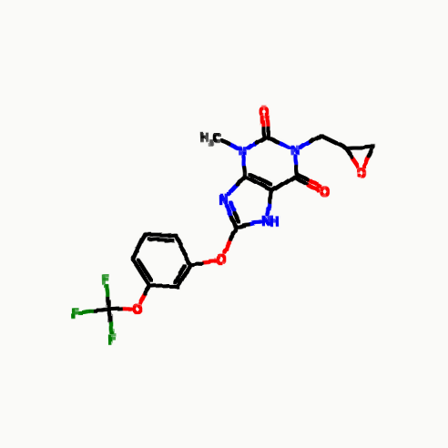 Cn1c(=O)n(CC2CO2)c(=O)c2[nH]c(Oc3cccc(OC(F)(F)F)c3)nc21